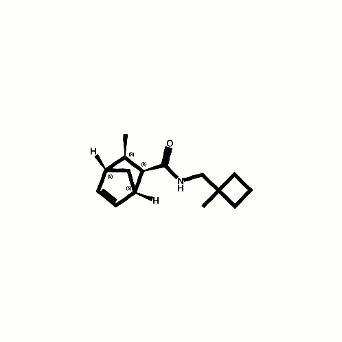 C[C@H]1[C@@H](C(=O)NCC2(C)CCC2)[C@@H]2C=C[C@H]1C2